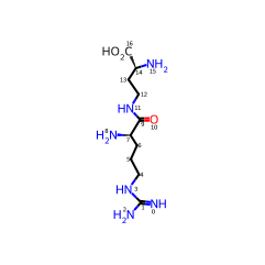 N=C(N)NCCC[C@@H](N)C(=O)NCC[C@H](N)C(=O)O